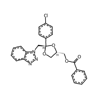 O=C(OC[C@@H]1CO[C@](Cn2nnc3ccccc32)(c2ccc(Cl)cc2)O1)c1ccccc1